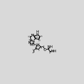 CC[C@@H]1C[C@H](COC(=N)C=N)C[C@@H]1c1nnc2cnc3[nH]ccc3n12